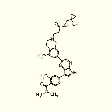 Cc1cc(-c2c[nH]c3ncc(-c4cc(C)c5c(c4)CN(CCC(=O)NCC4(O)CC4)CC5)nc23)ccc1C(=O)N(C)C